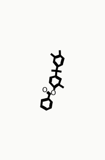 Cc1ccc(C(C)(C)c2ccc(OC(=O)c3ccccc3)c(C)c2)cc1C